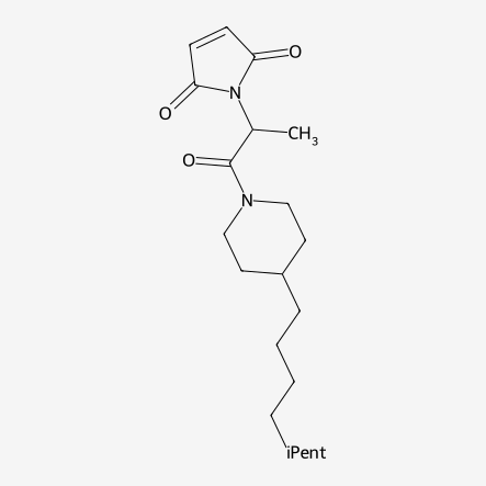 CCCC(C)CCCCC1CCN(C(=O)C(C)N2C(=O)C=CC2=O)CC1